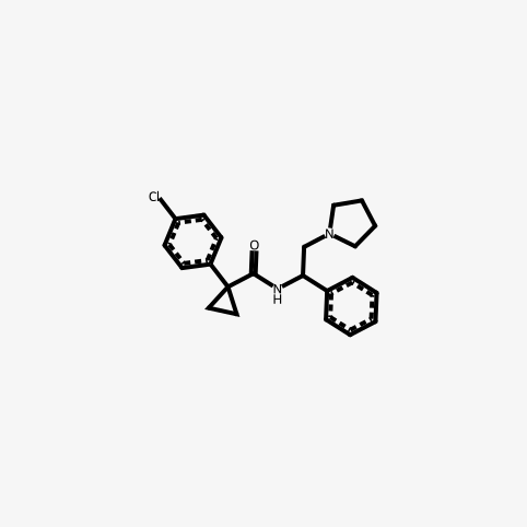 O=C(NC(CN1CCCC1)c1ccccc1)C1(c2ccc(Cl)cc2)CC1